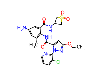 Cc1cc(N)cc(C(=O)NC2CS(=O)(=O)C2)c1NC(=O)c1cc(OCC(F)(F)F)nn1-c1ncccc1Cl